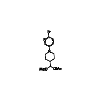 COC(OC)C1CCN(c2ccc(Br)nc2)CC1